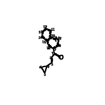 O=C(C=CC1CC1)c1cnc2ccccc2c1